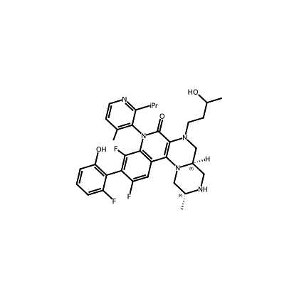 Cc1ccnc(C(C)C)c1-n1c(=O)c2c(c3cc(F)c(-c4c(O)cccc4F)c(F)c31)N1C[C@@H](C)NC[C@@H]1CN2CCC(C)O